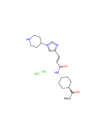 COC(=O)[C@H]1CC[C@H](NC(=O)C=Cc2cn(C3CCNCC3)cn2)CC1.Cl.Cl